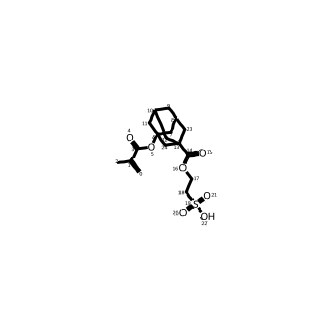 C=C(C)C(=O)OC12CC3CC(C1)CC(C(=O)OCCS(=O)(=O)O)(C3)C2